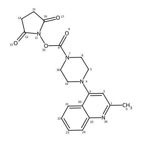 Cc1cc(N2CCN(C(=O)ON3C(=O)CCC3=O)CC2)c2ccccc2n1